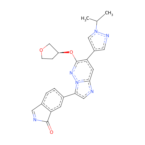 CC(C)n1cc(-c2cc3ncc(-c4ccc5c(c4)C(=O)N=C5)n3nc2O[C@H]2CCOC2)cn1